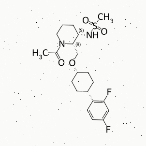 CC(=O)N1CCC[C@H](NS(C)(=O)=O)[C@@H]1CO[C@H]1CC[C@@H](c2ccc(F)cc2F)CC1